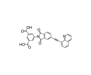 O=C(O)c1cc(C(=O)O)cc(N2C(=O)c3ccc(C#Cc4cccc5cccnc45)cc3C2=O)c1